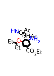 CC(=O)C=C=N.CCOC(=O)C1=C[C@@H](OC(CC)CC)[C@H](NC(C)=O)[C@@H](N)C1